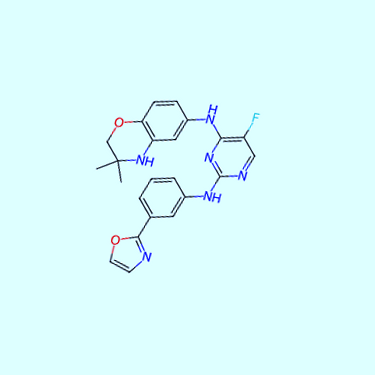 CC1(C)COc2ccc(Nc3nc(Nc4cccc(-c5ncco5)c4)ncc3F)cc2N1